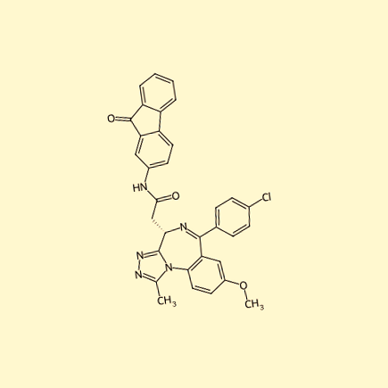 COc1ccc2c(c1)C(c1ccc(Cl)cc1)=N[C@@H](CC(=O)Nc1ccc3c(c1)C(=O)c1ccccc1-3)c1nnc(C)n1-2